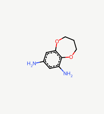 Nc1cc(N)c2c(c1)OCCCO2